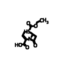 CCOC(=O)[SH]1CC=C(C(=O)O)N2C(=O)CC21